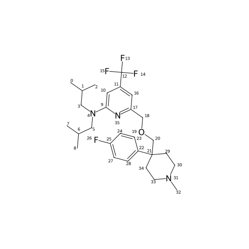 CC(C)CN(CC(C)C)c1cc(C(F)(F)F)cc(COCC2(c3ccc(F)cc3)CCN(C)CC2)n1